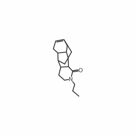 CCCN1CCC2C3CC4(CC5=CCC3C4C5)C2C1=O